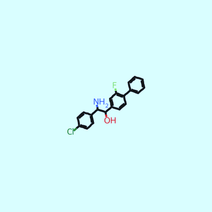 NC(c1ccc(Cl)cc1)C(O)c1ccc(-c2ccccc2)c(F)c1